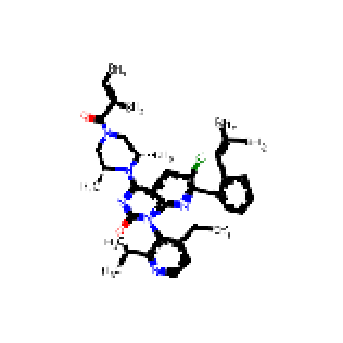 B/C=C(\B)C(=O)N1C[C@H](C)N(c2nc(=O)n(-c3c(CC)ccnc3C(C)C)c3nc(-c4ccccc4C=C(B)B)c(Cl)cc23)[C@@H](C)C1